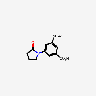 CC(=O)Nc1cc(C(=O)O)cc(N2CCCC2=O)c1